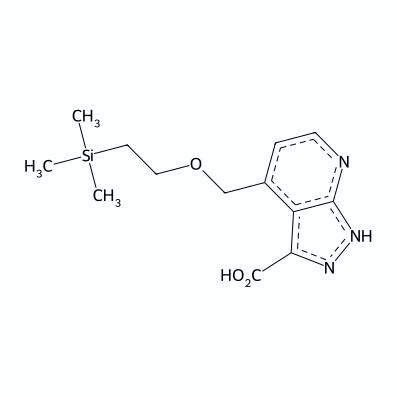 C[Si](C)(C)CCOCc1ccnc2[nH]nc(C(=O)O)c12